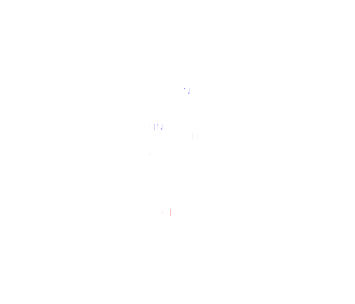 Cc1cc(-c2[nH]c3ccc(C4CCC(O)CC4)cc3c2C(C)C)ccn1